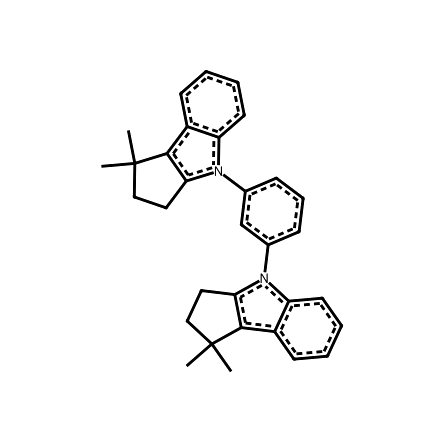 CC1(C)CCc2c1c1ccccc1n2-c1cccc(-n2c3c(c4ccccc42)C(C)(C)CC3)c1